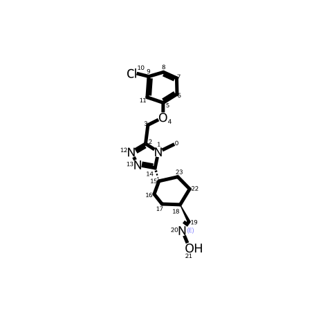 Cn1c(COc2cccc(Cl)c2)nnc1[C@H]1CC[C@H](/C=N/O)CC1